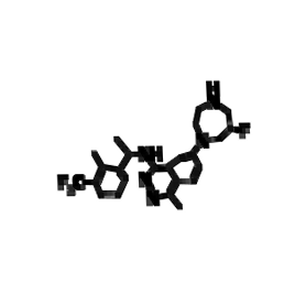 Cc1c(C(C)Nc2nnc(C)c3ccc(N4CCNC[C@@H](F)C4)cc23)cccc1C(F)(F)F